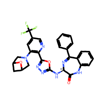 O=C1Nc2ccccc2C(c2ccccc2)=N[C@@H]1Nc1nnc(-c2ncc(C(F)(F)F)cc2N2CC3CC(C2)O3)o1